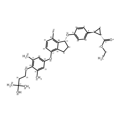 CCOC(=O)[C@H]1C[C@@H]1c1ccc(O[C@@H]2CCc3c(Oc4cc(C)c(OCCC(C)(C)O)c(C)c4)ccc(F)c32)cc1